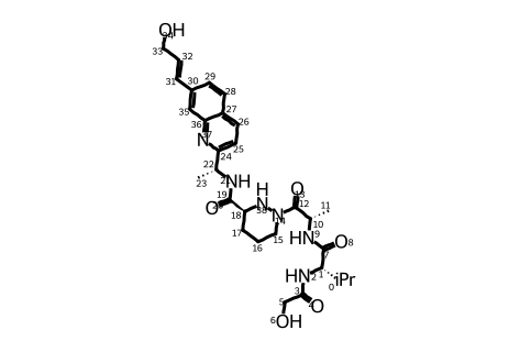 CC(C)[C@H](NC(=O)CO)C(=O)N[C@@H](C)C(=O)N1CCC[C@@H](C(=O)N[C@H](C)c2ccc3ccc(/C=C/CO)cc3n2)N1